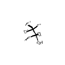 OC(F)(Cl)C(F)(F)Cl